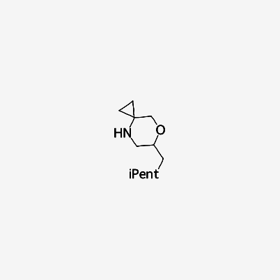 CCCC(C)CC1CNC2(CC2)CO1